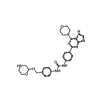 O=C(Nc1ccc(COC2CNCCO2)cc1)Nc1ccc(-c2nc(N3CCOCC3)c3[nH]cnc3n2)cc1